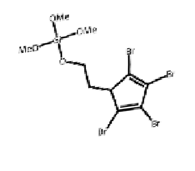 CO[Si](OC)(OC)OCCC1C(Br)=C(Br)C(Br)=C1Br